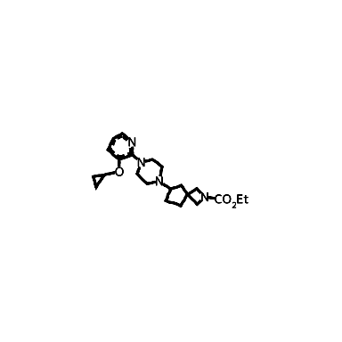 CCOC(=O)N1CC2(CCC(N3CCN(c4ncccc4OC4CC4)CC3)C2)C1